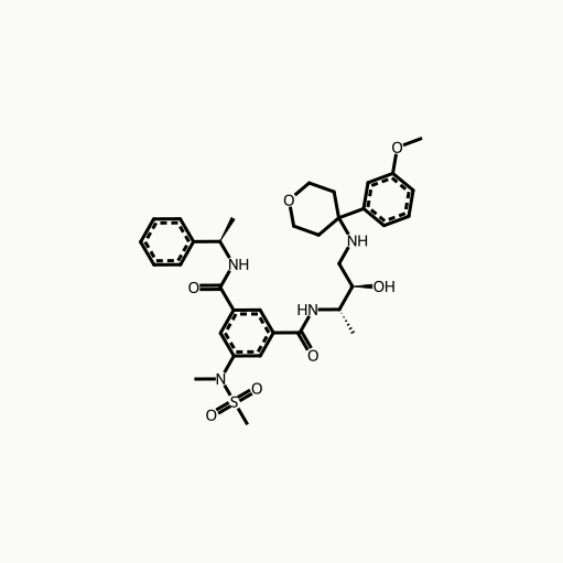 COc1cccc(C2(NC[C@@H](O)[C@H](C)NC(=O)c3cc(C(=O)N[C@H](C)c4ccccc4)cc(N(C)S(C)(=O)=O)c3)CCOCC2)c1